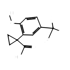 COc1ccc(C(F)(F)F)cc1C1(C(=O)O)CC1